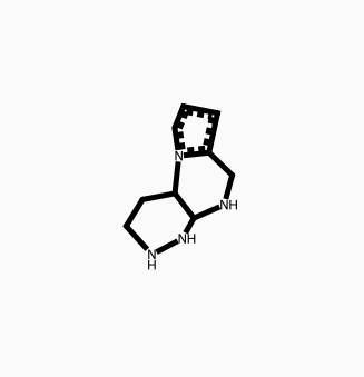 c1cc2n(c1)C1CCNNC1NC2